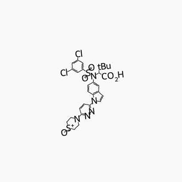 CC(C)(C)C(C(=O)O)N(c1ccc2c(ccn2-c2ccc(N3CC[S+]([O-])CC3)nn2)c1)S(=O)(=O)c1cc(Cl)cc(Cl)c1